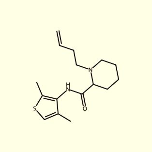 C=CCCN1CCCCC1C(=O)Nc1c(C)csc1C